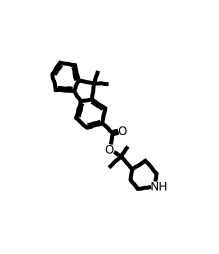 CC1(C)c2ccccc2-c2ccc(C(=O)OC(C)(C)C3CCNCC3)cc21